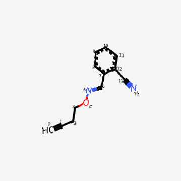 C#CCCON=[C]c1ccccc1C#N